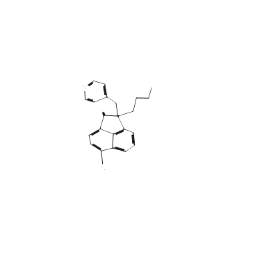 CCOC(=O)CCCC1(Cc2ccncc2)C(=O)c2ccc([N+](=O)[O-])c3cccc1c23